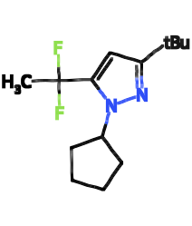 CC(C)(C)c1cc(C(C)(F)F)n(C2CCCC2)n1